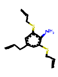 C=CCSc1cc(CC=C)cc(SCC=C)c1N